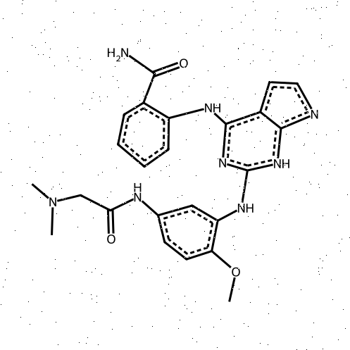 COc1ccc(NC(=O)CN(C)C)cc1Nc1nc(Nc2ccccc2C(N)=O)c2ccnc-2[nH]1